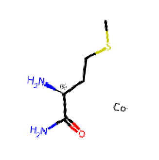 CSCC[C@H](N)C(N)=O.[Co]